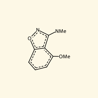 CNc1noc2cccc(OC)c12